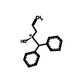 C=CC[C@@H](O)C(c1ccccc1)c1ccccc1